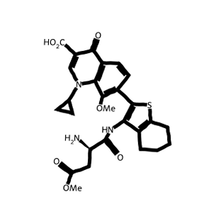 COC(=O)C[C@@H](N)C(=O)Nc1c(-c2ccc3c(=O)c(C(=O)O)cn(C4CC4)c3c2OC)sc2c1CCCC2